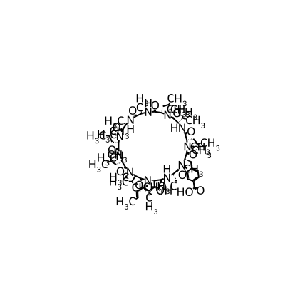 C/C=C/C[C@@H](C)[C@@H](O)[C@H]1C(=O)N[C@@H](CC)C(=O)N(C)[C@H](Cc2ccc(C(=O)O)cc2)C(=O)N(C)[C@@H](CC(C)C)C(=O)N[C@@H](C(C)C)C(=O)N(C)[C@@H](CC(C)C)C(=O)N[C@@H](C)C(=O)N[C@H](C)C(=O)N(C)[C@@H](CC(C)C)C(=O)N(C)[C@@H](CC(C)C)C(=O)N(C)C(C(C)C)C(=O)N1C